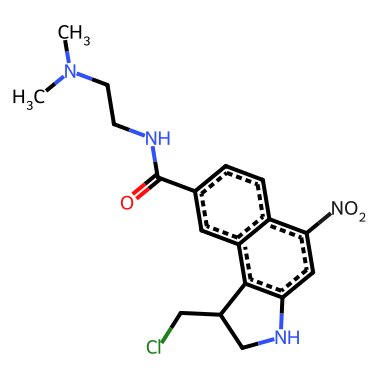 CN(C)CCNC(=O)c1ccc2c([N+](=O)[O-])cc3c(c2c1)C(CCl)CN3